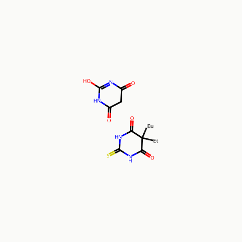 CCC(C)C1(CC)C(=O)NC(=S)NC1=O.O=C1CC(=O)NC(O)=N1